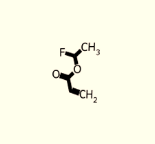 C=CC(=O)OC(C)F